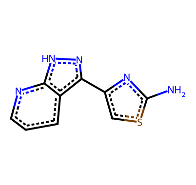 Nc1nc(-c2n[nH]c3ncccc23)cs1